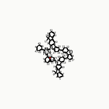 CC1(C)c2ccccc2-c2cc3c4cc(-c5cccc6oc7ccc(-c8ccc9c(c8)c8cc%10c(cc8n9-c8nc(-c9ccccc9)nc(-c9ccccc9)n8)C(C)(C)c8ccccc8-%10)cc7c56)ccc4n(-c4ccccc4)c3cc21